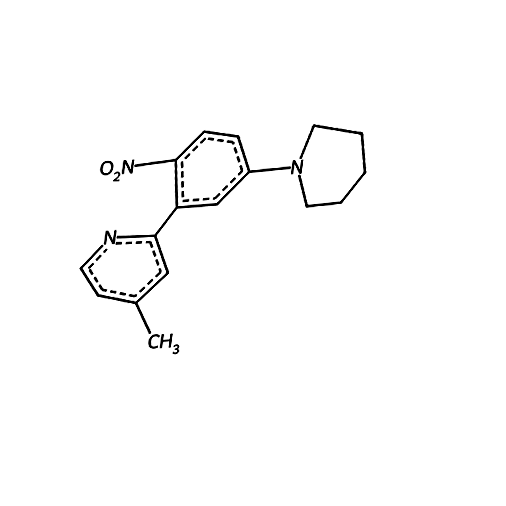 Cc1ccnc(-c2cc(N3CCCCC3)ccc2[N+](=O)[O-])c1